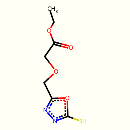 CCOC(=O)COCc1nnc(S)o1